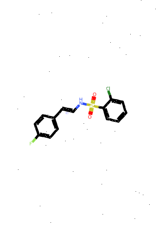 O=S(=O)(N/C=C/c1ccc(F)cc1)c1ccccc1Cl